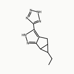 CCC1C2Cc3c(n[nH]c3-c3nn[nH]n3)C12